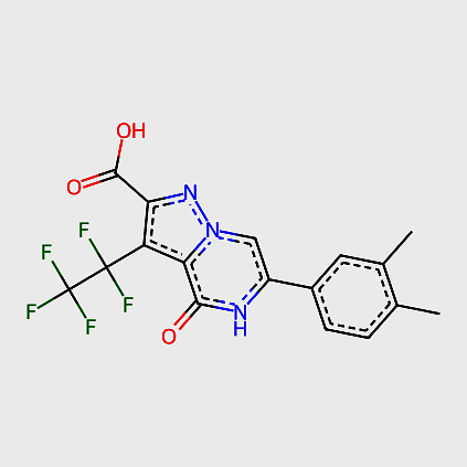 Cc1ccc(-c2cn3nc(C(=O)O)c(C(F)(F)C(F)(F)F)c3c(=O)[nH]2)cc1C